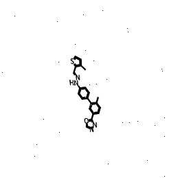 Cc1ccc(-c2nnco2)cc1-c1ccc(NN=Cc2sccc2C)cc1